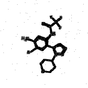 Cc1cc(NC(=O)C(F)(F)F)c(-c2ccnn2C2CCOCC2)cc1Br